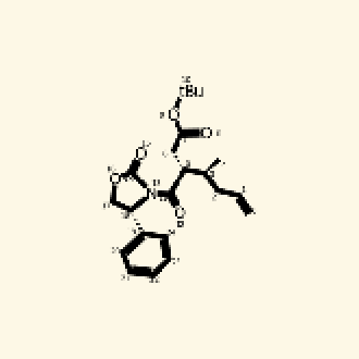 C=CC[C@H](C)[C@@H](CC(=O)OC(C)(C)C)C(=O)N1C(=O)OC[C@H]1c1ccccc1